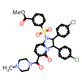 COC(=O)c1cccc(S(=O)(=O)N2c3ccc(C(=O)N4CCN(C)CC4)c(=O)n3C(c3ccc(Cl)cc3)C2c2ccc(Cl)cc2)c1